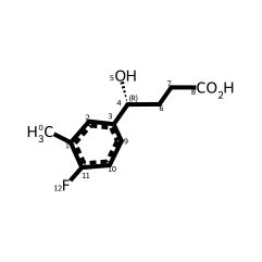 Cc1cc([C@H](O)CCC(=O)O)ccc1F